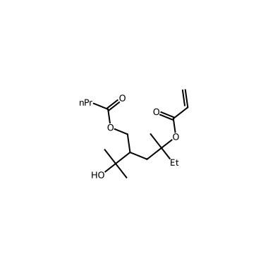 C=CC(=O)OC(C)(CC)CC(COC(=O)CCC)C(C)(C)O